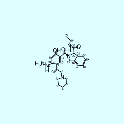 C=C(CN1CCCCC1)c1cc(C(=O)N2Cc3ccccc3C2C(=O)NCC)c(O)cc1NN